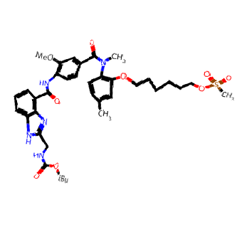 COc1cc(C(=O)N(C)c2ccc(C)cc2OCCCCCCOS(C)(=O)=O)ccc1NC(=O)c1cccc2[nH]c(CNC(=O)OC(C)(C)C)nc12